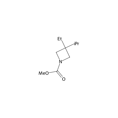 CCC1(C(C)C)CN(C(=O)OC)C1